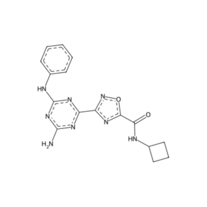 Nc1nc(Nc2ccccc2)nc(-c2noc(C(=O)NC3CCC3)n2)n1